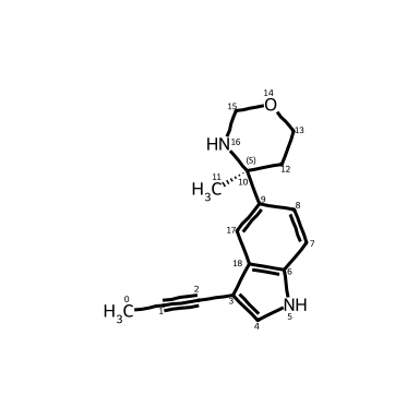 CC#Cc1c[nH]c2ccc([C@]3(C)CCOCN3)cc12